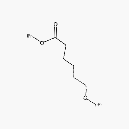 CCCOCCCCCC(=O)OC(C)C